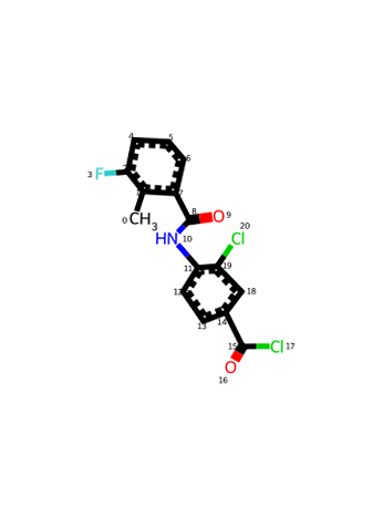 Cc1c(F)cccc1C(=O)Nc1ccc(C(=O)Cl)cc1Cl